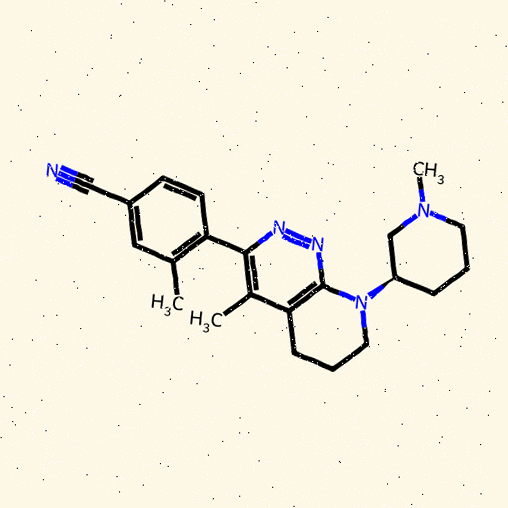 Cc1cc(C#N)ccc1-c1nnc2c(c1C)CCCN2[C@@H]1CCCN(C)C1